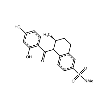 CNS(=O)(=O)c1ccc2c(c1)CC[C@H](C)C2C(=O)c1ccc(O)cc1O